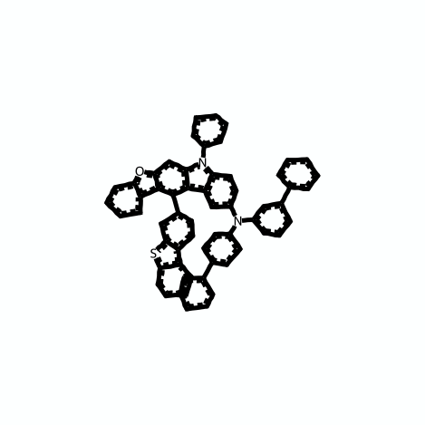 c1ccc(-c2ccc(N(c3cccc(-c4ccccc4)c3)c3ccc4c(c3)c3c(-c5ccc6c(c5)sc5ccccc56)c5c(cc3n4-c3ccccc3)oc3ccccc35)cc2)cc1